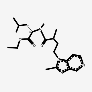 CCOC(=O)[C@H](CC(C)C)N(C)C(=O)C(C)CCn1c(C)nc2cnccc21